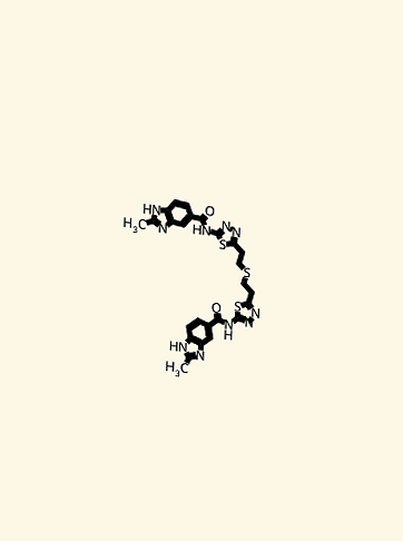 Cc1nc2cc(C(=O)Nc3nnc(CCSCCc4nnc(NC(=O)c5ccc6[nH]c(C)nc6c5)s4)s3)ccc2[nH]1